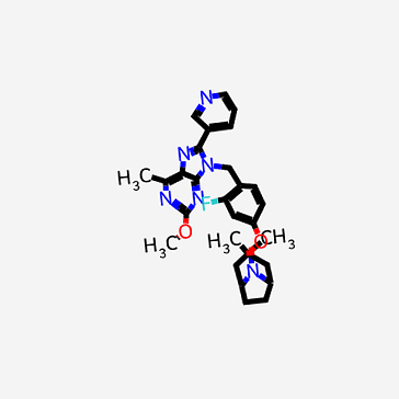 CCN1C2CCC1CC(C)(Oc1ccc(Cn3c(-c4cccnc4)nc4c(C)nc(OC)nc43)c(F)c1)C2